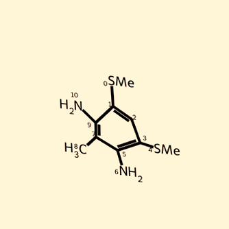 CSc1cc(SC)c(N)c(C)c1N